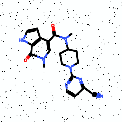 CN(C(=O)c1cn(C)c(=O)c2[nH]ccc12)C1CCN(c2nccc(C#N)n2)CC1